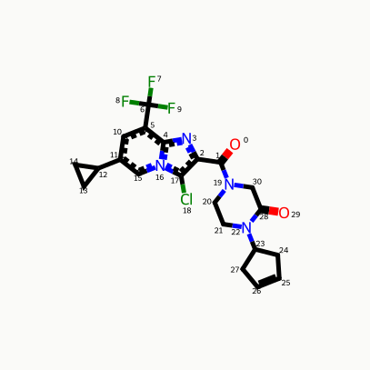 O=C(c1nc2c(C(F)(F)F)cc(C3CC3)cn2c1Cl)N1CCN(C2CC=CC2)C(=O)C1